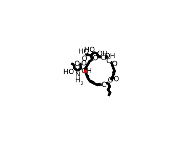 CCCCC1CC=CC=CC=CC=CC(OC2OC(C)C(O)C(N)C2O)CC2OC(O)(CC(O)CC3OC3C=CC(=O)O1)CC(O)C2C(=O)O